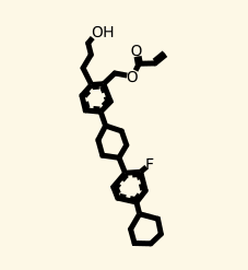 C=CC(=O)OCc1cc(C2CCC(c3ccc(C4CCCCC4)cc3F)CC2)ccc1CCCO